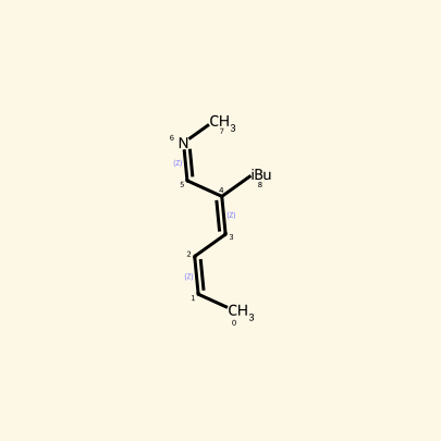 C\C=C/C=C(\C=N/C)C(C)CC